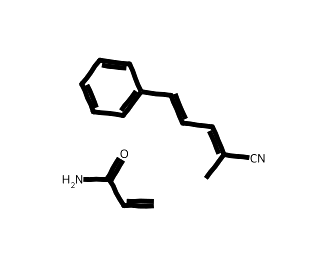 C=CC(N)=O.CC(C#N)=CC=Cc1ccccc1